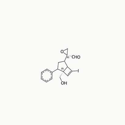 O=C[C@@]1(C2CC(c3ccccc3)[C@]3(CO)C=C(I)C23)CO1